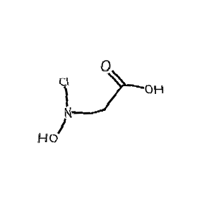 O=C(O)CN(O)Cl